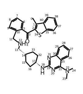 Cc1c(C(=O)c2ccccc2CNC[C@H]2CC[C@@H](Nc3nc(N(C)C)c4ccccc4n3)CC2)sc2ccccc12